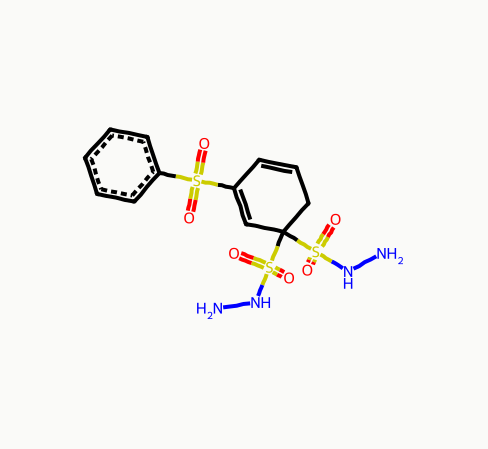 NNS(=O)(=O)C1(S(=O)(=O)NN)C=C(S(=O)(=O)c2ccccc2)C=CC1